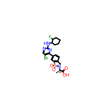 C[C@H](C(=O)O)N1Cc2ccc(-c3nc(NC4CCCCC4F)ncc3Br)cc2S1(=O)=O